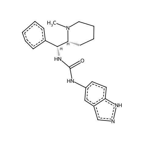 CN1CCCC[C@@H]1[C@H](NC(=O)Nc1ccc2[nH]ncc2c1)c1ccccc1